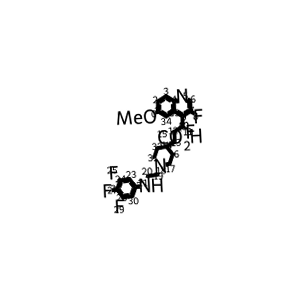 COc1ccc2ncc(F)c([C@@H](F)CCC3(C(=O)O)CCN(CCNc4cc(F)c(F)c(F)c4)CC3)c2c1